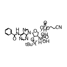 CC(C)(C)[Si](C)(C)O[C@@H]1[C@H](NP(=O)(O)O)[C@@H](CO[PH](=O)OCCC#N)O[C@H]1n1cnc2c(NC(=O)c3ccccc3)ncnc21